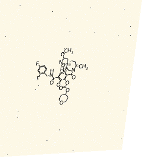 COC1=NO[C@@]2(CC[C@H](C)N3C[C@H]2n2cc(C(=O)NCc4ccc(F)cc4F)c(=O)c(OC(=O)OC4CCOCC4)c2C3=O)C1